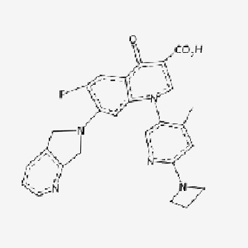 Cc1cc(N2CCC2)ncc1-n1cc(C(=O)O)c(=O)c2cc(F)c(N3Cc4cccnc4C3)cc21